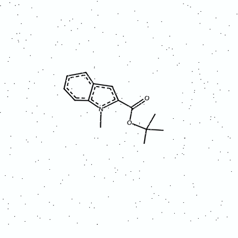 Cn1c(C(=O)OC(C)(C)C)cc2ccccc21